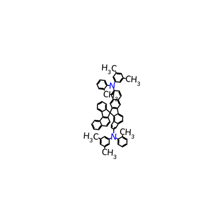 Cc1cc(C)cc(N(c2ccc3cc4c(cc3c2)C2(c3ccccc3-c3c2ccc2ccccc32)c2c-4ccc3cc(N(c4cc(C)cc(C)c4)c4ccccc4C)ccc23)c2ccccc2C)c1